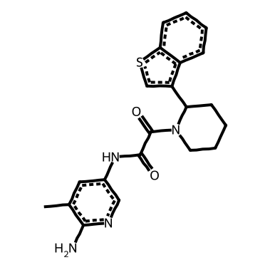 Cc1cc(NC(=O)C(=O)N2CCCCC2c2csc3ccccc23)cnc1N